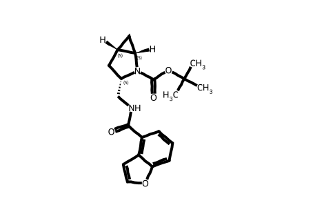 CC(C)(C)OC(=O)N1[C@H](CNC(=O)c2cccc3occc23)C[C@@H]2C[C@@H]21